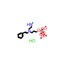 CNCCN(C=Cc1ccccc1)CCCO[Si](OOC)(OOC)OOC.Cl